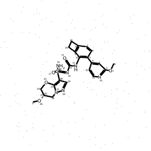 COc1cc(-c2ccc3c(c2NC(=O)N=[S@@](N)(=O)c2cnn4c2OC[C@@H](OC)C4)CC3)ccn1